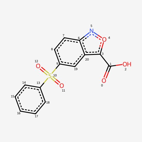 O=C(O)c1onc2ccc(S(=O)(=O)c3ccccc3)cc12